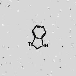 [C]1Nc2ccccc2[Te]1